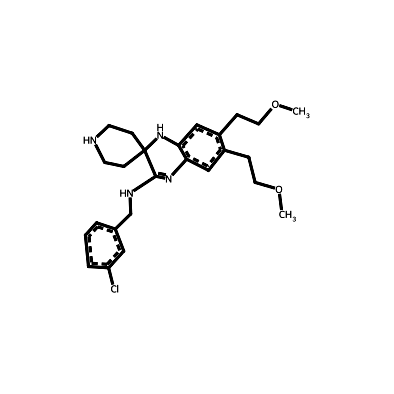 COCCc1cc2c(cc1CCOC)NC1(CCNCC1)C(NCc1cccc(Cl)c1)=N2